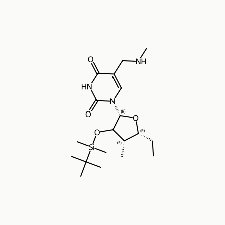 CC[C@H]1O[C@@H](n2cc(CNC)c(=O)[nH]c2=O)C(O[Si](C)(C)C(C)(C)C)[C@H]1C